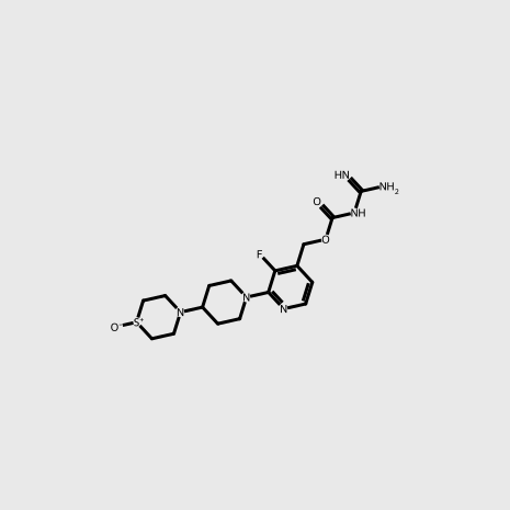 N=C(N)NC(=O)OCc1ccnc(N2CCC(N3CC[S+]([O-])CC3)CC2)c1F